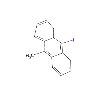 CC1=c2ccccc2=C(I)C2CC=CC=C12